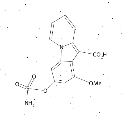 COc1cc(OS(N)(=O)=O)cc2c1c(C(=O)O)c1ccccn12